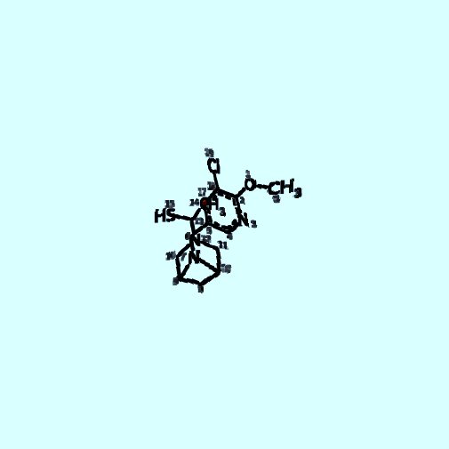 COc1ncc(CN2C3CC2CN(C(C)S)C3)cc1Cl